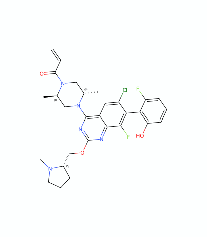 C=CC(=O)N1C[C@H](C)N(c2nc(OC[C@@H]3CCCN3C)nc3c(F)c(-c4c(O)cccc4F)c(Cl)cc23)C[C@H]1C